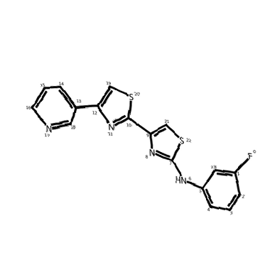 Fc1cccc(Nc2nc(-c3nc(-c4cccnc4)cs3)cs2)c1